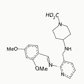 COc1ccc(C=Nc2ncccc2CNC2CCN(C(=O)O)CC2)c(OC)c1